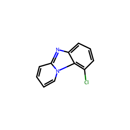 Clc1cccc2nc3ccccn3c12